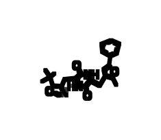 Cc1oc(-c2ccccc2)cc1C=c1[nH]c(=O)c(=Cc2ncoc2C(C)(C)C)[nH]c1=O